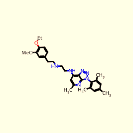 CCOc1ccc(CCNCCNc2cc(C)nc3c2nnn3-c2c(C)cc(C)cc2C)cc1OC